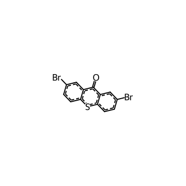 O=c1c2cc(Br)ccc2sc2ccc(Br)cc12